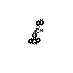 OC(COc1cccc2ncccc12)CN1CCN(C2c3ccccc3COc3ccccc32)CC1